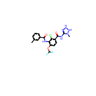 Cc1cccc(C(=O)Nc2c(OC(F)F)ccc(C(=O)NC3=NNNN3C)c2Cl)c1